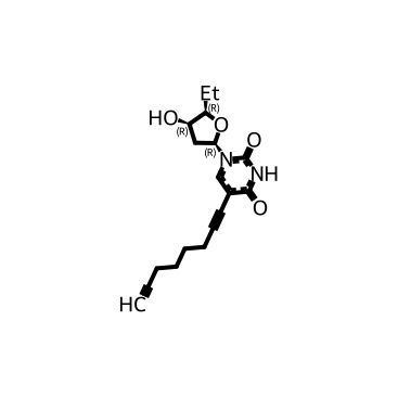 C#CCCCCC#Cc1cn([C@H]2C[C@@H](O)[C@@H](CC)O2)c(=O)[nH]c1=O